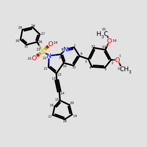 COc1ccc(-c2cnc3c(c2)c(C#Cc2ccccc2)cn3S(=O)(=O)c2ccccc2)cc1OC